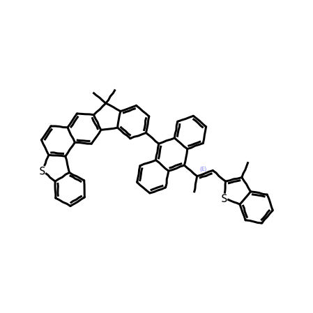 C/C(=C\c1sc2ccccc2c1C)c1c2ccccc2c(-c2ccc3c(c2)-c2cc4c(ccc5sc6ccccc6c54)cc2C3(C)C)c2ccccc12